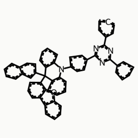 c1ccc(-c2nc(-c3ccccc3)nc(-c3ccc(N4c5ccccc5C(c5ccc6ccccc6c5)(c5cccc6c5oc5ccccc56)c5ccccc54)cc3)n2)cc1